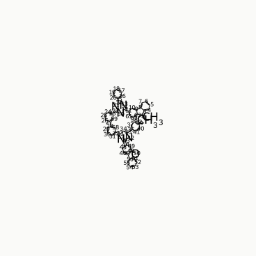 CC1(C)c2ccccc2-c2cc(-c3nc(-c4ccccc4)nc(-c4cccc(-c5cccc(-c6cc(-c7ccccc7)nc(-c7ccc8c(c7)oc7ccccc78)n6)c5)c4)n3)ccc21